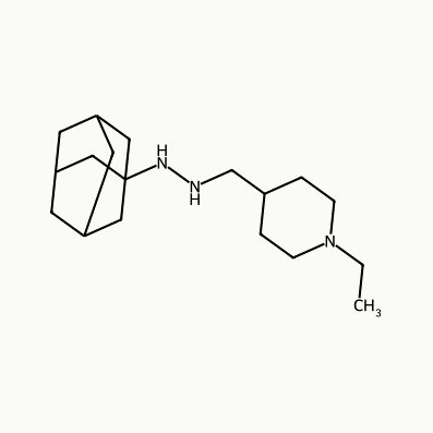 CCN1CCC(CNNC23CC4CC(CC(C4)C2)C3)CC1